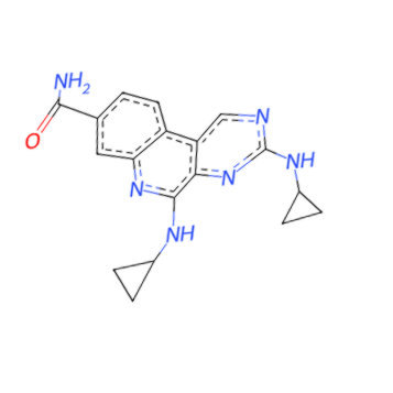 NC(=O)c1ccc2c(c1)nc(NC1CC1)c1nc(NC3CC3)ncc12